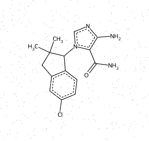 CC1(C)Cc2cc(Cl)ccc2C1n1cnc(N)c1C(N)=O